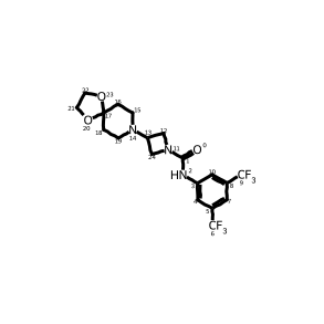 O=C(Nc1cc(C(F)(F)F)cc(C(F)(F)F)c1)N1CC(N2CCC3(CC2)OCCO3)C1